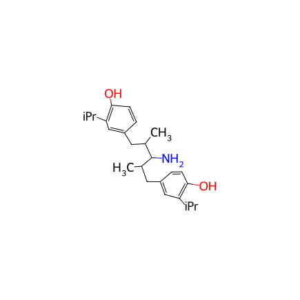 CC(C)c1cc(CC(C)C(N)C(C)Cc2ccc(O)c(C(C)C)c2)ccc1O